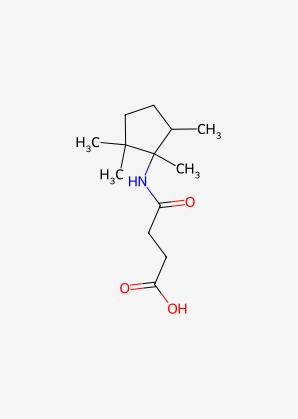 CC1CCC(C)(C)C1(C)NC(=O)CCC(=O)O